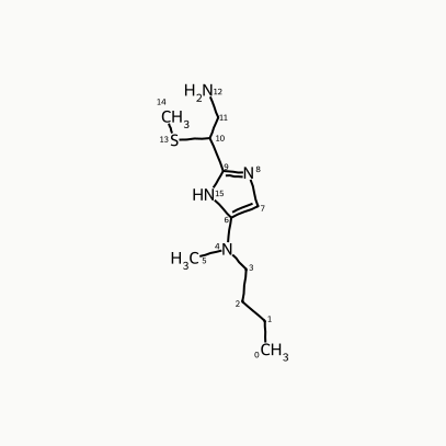 CCCCN(C)c1cnc(C(CN)SC)[nH]1